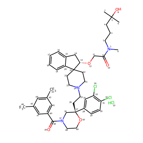 CN(CCCC(C)(C)O)C(=O)CO[C@H]1Cc2ccccc2C12CCN(CC[C@]1(c3ccc(Cl)c(Cl)c3)CN(C(=O)c3cc(C(F)(F)F)cc(C(F)(F)F)c3)CCO1)CC2.Cl